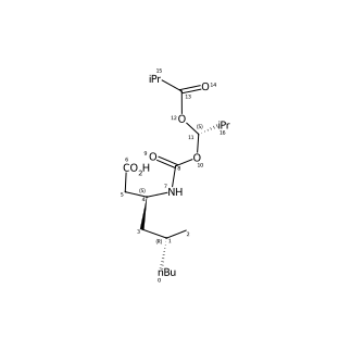 CCCC[C@@H](C)C[C@@H](CC(=O)O)NC(=O)O[C@H](OC(=O)C(C)C)C(C)C